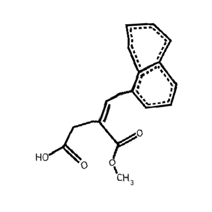 COC(=O)C(=Cc1cccc2ccccc12)CC(=O)O